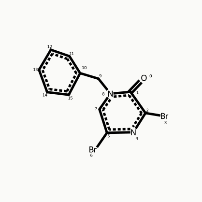 O=c1c(Br)nc(Br)cn1Cc1ccccc1